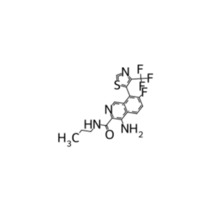 CCCNC(=O)c1ncc2c(-c3scnc3C(F)(F)F)c(F)ccc2c1N